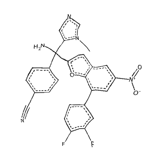 Cn1cncc1C(N)(c1ccc(C#N)cc1)c1cc2cc([N+](=O)[O-])cc(-c3ccc(F)c(F)c3)c2o1